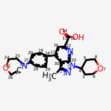 Cc1nn(C2CCOCC2)c2nc(C(=O)O)cc(-c3ccc(N4CCOCC4)cc3)c12